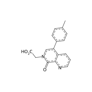 Cc1ccc(-c2cn(CC(=O)O)c(=O)c3ncccc23)cc1